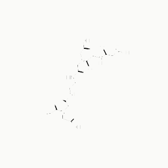 CCC(=O)N(CC(=O)O)CC(=O)NCCNC(=O)CN(CC(=O)O)C(=O)CNC(=O)CNC